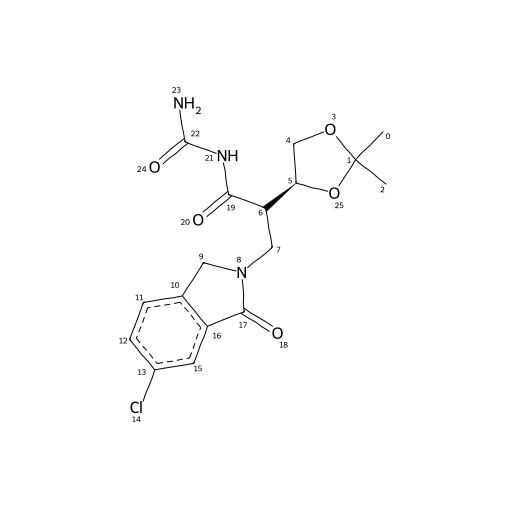 CC1(C)OC[C@H](C(CN2Cc3ccc(Cl)cc3C2=O)C(=O)NC(N)=O)O1